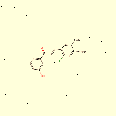 COc1cc(F)c(/C=C/C(=O)c2cccc(O)c2)cc1OC